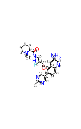 CCN1CCCC[C@H]1C(=O)NCC(F)COc1c(-c2cnc(C)nc2)ccc2ncc(N)cc12